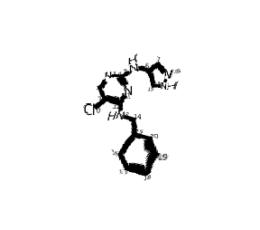 Clc1cnc(Nc2cn[nH]c2)nc1NCc1ccccc1